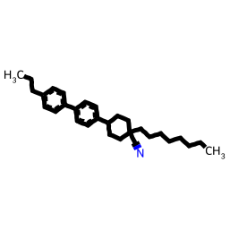 CCCCCCCCC1(C#N)CCC(c2ccc(-c3ccc(CCC)cc3)cc2)CC1